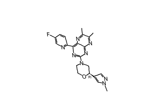 Cc1nc2nc(N3CCO[C@H](c4cnn(C)c4)C3)nc(-c3ccc(F)cn3)c2nc1C